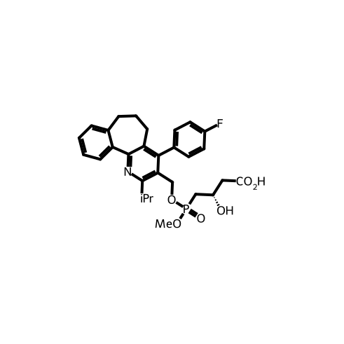 COP(=O)(C[C@@H](O)CC(=O)O)OCc1c(C(C)C)nc2c(c1-c1ccc(F)cc1)CCCc1ccccc1-2